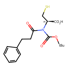 CC(C)(C)OC(=O)N(C(=O)CCc1ccccc1)[C@@H](CS)C(=O)O